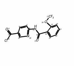 O=C(Cl)c1ccc(NC(=O)c2ccccc2OC(F)(F)F)nc1